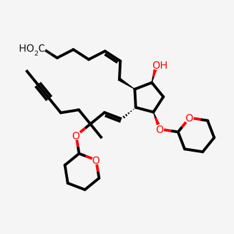 CC#CCCC(C)(/C=C/[C@@H]1[C@@H](C/C=C\CCCC(=O)O)[C@@H](O)C[C@H]1OC1CCCCO1)OC1CCCCO1